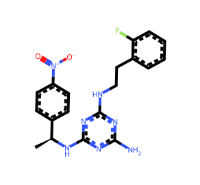 C[C@H](Nc1nc(N)nc(NCCc2ccccc2F)n1)c1ccc([N+](=O)[O-])cc1